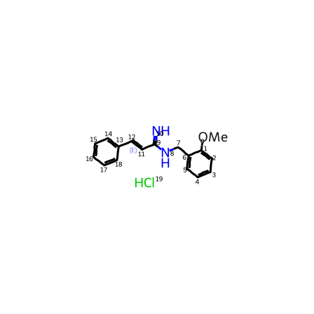 COc1ccccc1CNC(=N)/C=C/c1ccccc1.Cl